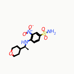 C[C@H](Nc1ccc(S(N)(=O)=O)cc1[N+](=O)[O-])C1CCOCC1